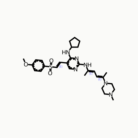 COc1ccc(S(=O)(=O)/C=C/c2cnc(N/C(C)=C/C=C(\C)N3CCN(C)CC3)nc2NC2CCCC2)cc1